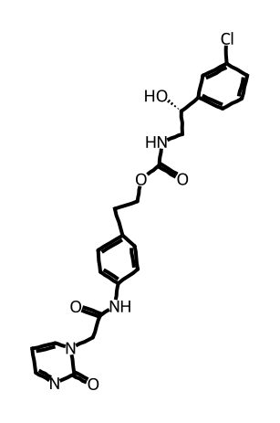 O=C(Cn1cccnc1=O)Nc1ccc(CCOC(=O)NC[C@H](O)c2cccc(Cl)c2)cc1